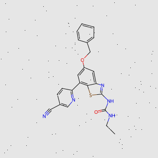 CCNC(=O)Nc1nc2cc(OCc3ccccc3)cc(-c3ccc(C#N)cn3)c2s1